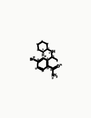 CC(NC1CCCCN1)c1cc(Br)ccc1C(N)=O